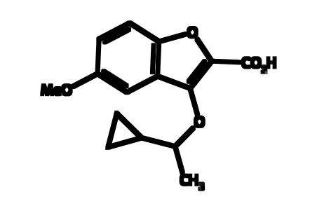 COc1ccc2oc(C(=O)O)c(OC(C)C3CC3)c2c1